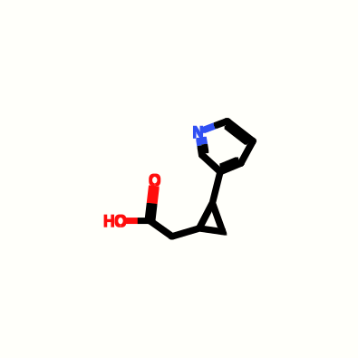 O=C(O)CC1CC1c1cccnc1